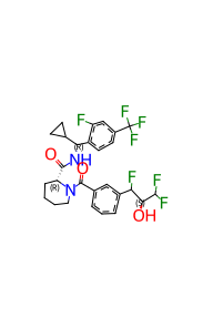 O=C(N[C@@H](c1ccc(C(F)(F)F)cc1F)C1CC1)[C@H]1CCCCN1C(=O)c1cccc(C(F)[C@H](O)C(F)F)c1